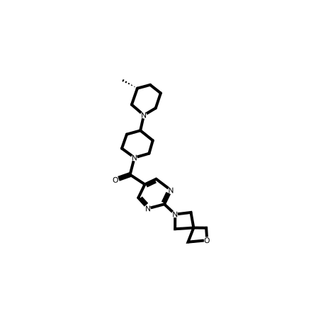 C[C@@H]1CCCN(C2CCN(C(=O)c3cnc(N4CC5(COC5)C4)nc3)CC2)C1